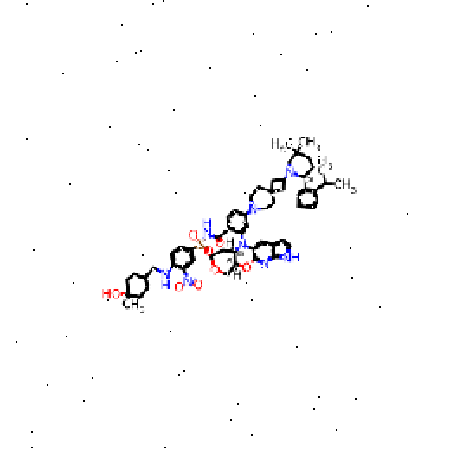 CC(C)c1ccccc1[C@@H]1CCC(C)(C)CN1C1CC2(CCN(c3ccc(C(=O)NS(=O)(=O)c4ccc(NCC5CCC(C)(O)CC5)c([N+](=O)[O-])c4)c(N4c5cc6cc[nH]c6nc5O[C@H]5COCC[C@@H]54)c3)CC2)C1